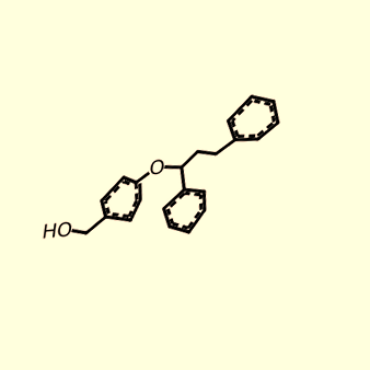 OCc1ccc(OC(CCc2ccccc2)c2ccccc2)cc1